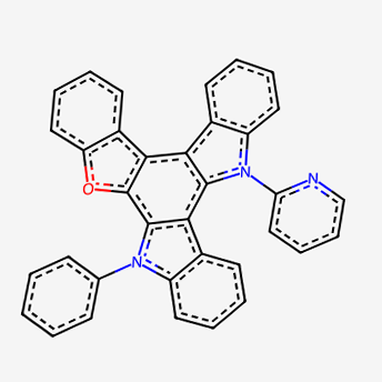 c1ccc(-n2c3ccccc3c3c2c2oc4ccccc4c2c2c4ccccc4n(-c4ccccn4)c23)cc1